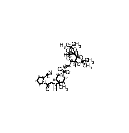 CC1(NCC(=O)N2CCC[C@H]2C#N)CCN(S(=O)(=O)OC[C@H]2O[C@@H]3OC(C)(C)O[C@@H]3[C@H]3OC(C)(C)O[C@H]32)CC1